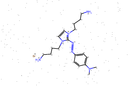 CN(C)c1ccc(/N=N/c2n(CCCCN)cc[n+]2CCCCN)cc1.[Br-]